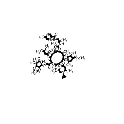 CON=C1C[C@@H](C)O[C@@H](OC2C(C)CC(C)(OC(=O)NC(C)(C)CNC(=O)c3cnc(O)cn3)C(=O)C(C)C(OC(=O)CC(C)C)C(C)C(C(C)CO[C@@H]3O[C@H](C)[C@@H](O)[C@@H](OC)[C@H]3OC)OC(=O)C(C)C(O[C@H]3CC(C)N(C4CC4)C[C@H](C)O3)C2C)[C@@H]1O